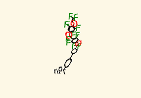 CCCC1CCC(C2CCC(C(F)(F)Oc3cc(F)c(C(F)(F)Oc4cc(F)c(OC=C(F)F)c(F)c4)c(F)c3)CC2)CC1